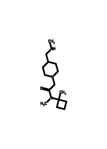 CNCC1CCN(CC(=O)N(C)C2(C)CCC2)CC1